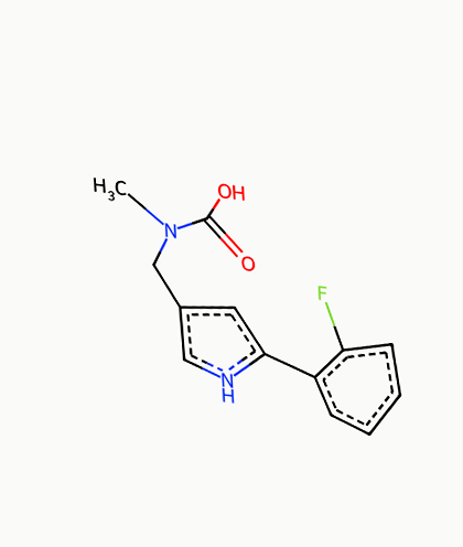 CN(Cc1c[nH]c(-c2ccccc2F)c1)C(=O)O